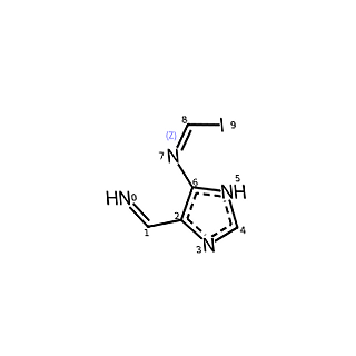 N=Cc1nc[nH]c1/N=C\I